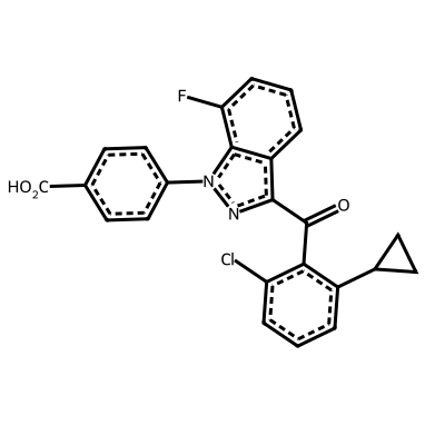 O=C(O)c1ccc(-n2nc(C(=O)c3c(Cl)cccc3C3CC3)c3cccc(F)c32)cc1